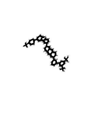 CC(C)(C)c1ccc(-c2ccc3sc4ccc(-c5ccc6cc7cc(-c8cccc(-c9cc(C(C)(C)C)cc(C(C)(C)C)c9)c8)ccc7cc6c5)cc4c3c2)cc1